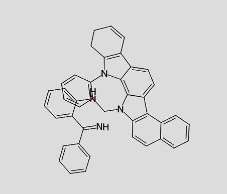 N=C(c1ccccc1)c1ccccc1NCn1c2ccc3ccccc3c2c2ccc3c4c(n(-c5ccccc5)c3c21)CCC=C4